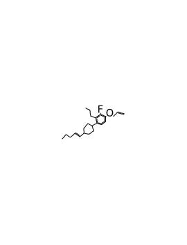 C=CCOc1ccc(C2CCC(C=CCCC)CC2)c(CCC)c1F